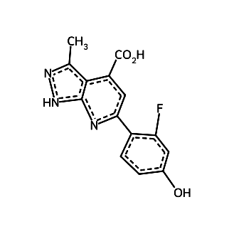 Cc1n[nH]c2nc(-c3ccc(O)cc3F)cc(C(=O)O)c12